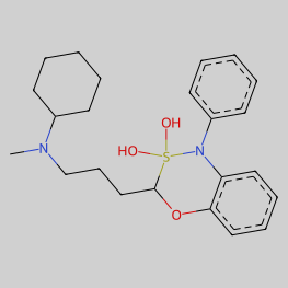 CN(CCCC1Oc2ccccc2N(c2ccccc2)S1(O)O)C1CCCCC1